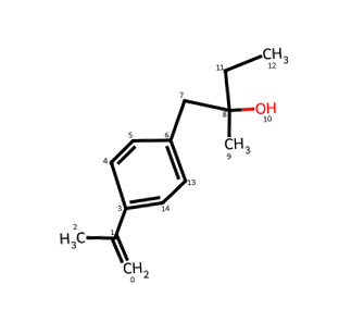 C=C(C)c1ccc(CC(C)(O)CC)cc1